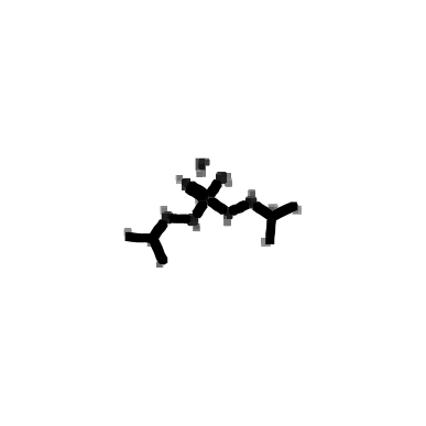 CC(C)OOP([O-])(=S)SOC(C)C.[K+]